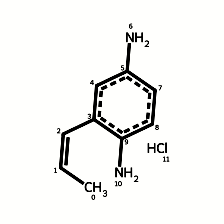 C/C=C\c1cc(N)ccc1N.Cl